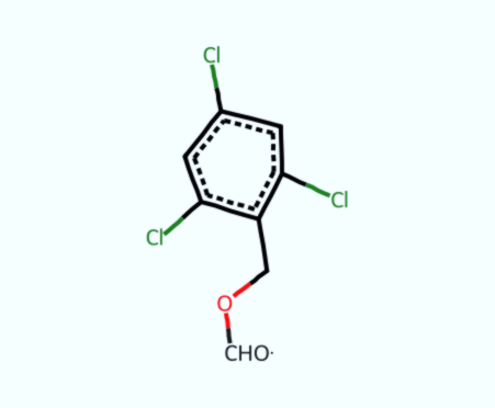 O=[C]OCc1c(Cl)cc(Cl)cc1Cl